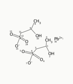 CC(O)CS(=O)(=O)[O-].CC(O)CS(=O)(=O)[O-].[Pb+2]